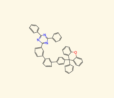 c1ccc(-c2nc(-c3ccccc3)nc(-c3cccc(-c4cccc(-c5ccc(C6(c7ccccc7)c7ccccc7Oc7ccccc76)cc5)c4)c3)n2)cc1